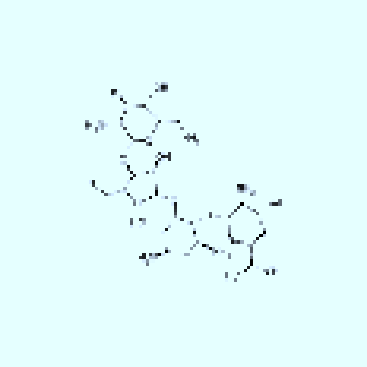 C[C@H](N)[C@@H]1C[C@@H](O)[C@@H](N)[C@@H](O[C@H]2[C@H](O[C@@H]3O[C@H](CO)[C@@H](O[C@H]4O[C@@H](CN)[C@@H](O)[C@H](O)[C@H]4N)[C@H]3O)[C@@H](O)[C@H](N)C[C@@H]2N)O1